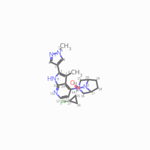 Cc1c(-c2cnn(C)c2)[nH]c2nccc(N3CC4CCC(C3)N4C(=O)[C@@H]3C[C@H]3F)c12